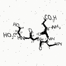 CC(C)C[C@H](NC(=O)[C@@H](N)CC(=O)O)C(=O)NCC(=O)N[C@@H](CO)C(=O)O